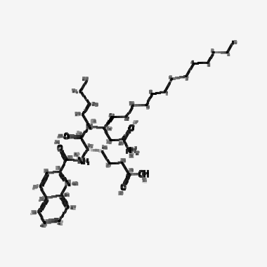 CCCCCCCCCCCCC[C@@H](CC(N)=O)N(CCCC)C(=O)[C@H](CCCC(=O)O)NC(=O)c1ccc2ccccc2n1